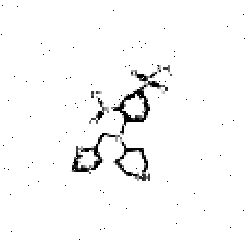 NS(=O)(=O)c1ccc(N(Cc2cscn2)C2CCNCC2)c([N+](=O)[O-])c1